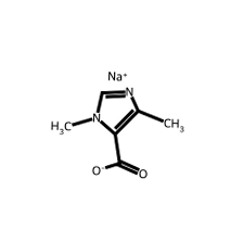 Cc1ncn(C)c1C(=O)[O-].[Na+]